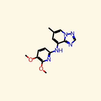 COc1ccc(Nc2cc(C)cn3ncnc23)nc1OC